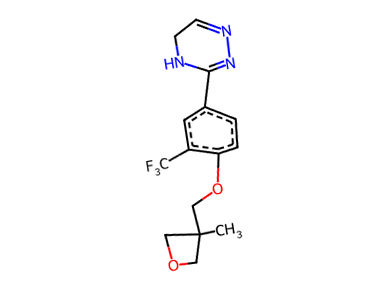 CC1(COc2ccc(C3=NN=CCN3)cc2C(F)(F)F)COC1